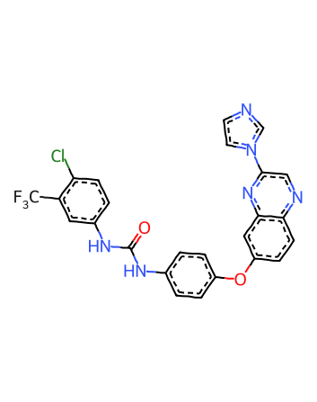 O=C(Nc1ccc(Oc2ccc3ncc(-n4ccnc4)nc3c2)cc1)Nc1ccc(Cl)c(C(F)(F)F)c1